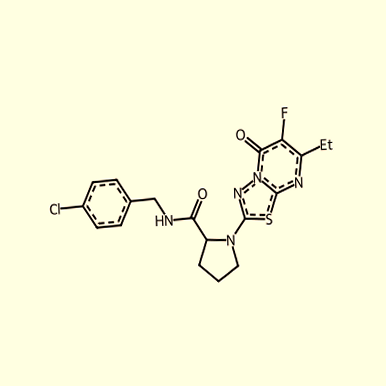 CCc1nc2sc(N3CCCC3C(=O)NCc3ccc(Cl)cc3)nn2c(=O)c1F